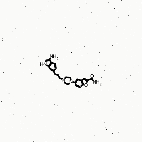 NC(=O)c1cc2cc(N3CCN(CCCc4ccc5c(N)c[nH]c5c4)CC3)ccc2o1